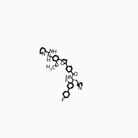 COc1cc(NC(=N)c2ccccn2)ccc1-c1ccc(-c2ccc(C(=O)N[C@@H](Cn3ccnc3)c3ccc(-c4ccc(F)cc4)cc3F)cc2)o1